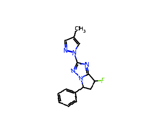 Cc1cnn(-c2nc3n(n2)C(c2ccccc2)CC3F)c1